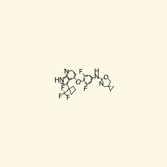 Fc1cc(NC2=NCC3(CC3)CO2)cc(F)c1Oc1ccnc2[nH]cc(C3(C(F)(F)F)CCC3)c12